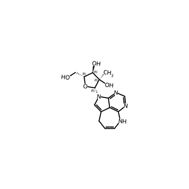 C[C@@]1(O)[C@H](O)[C@@H](CO)O[C@H]1n1cc2c3c(ncnc31)NC=CC2